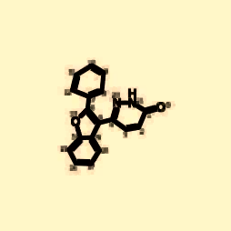 O=c1ccc(-c2c(-c3ccccc3)oc3ccccc23)n[nH]1